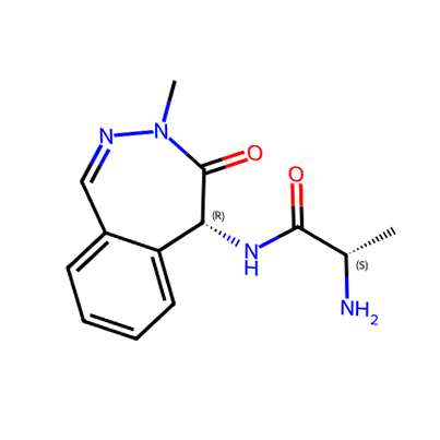 C[C@H](N)C(=O)N[C@H]1C(=O)N(C)N=Cc2ccccc21